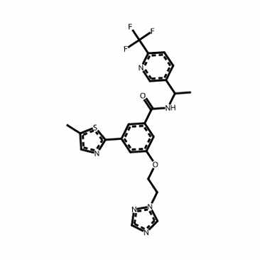 Cc1cnc(-c2cc(OCCn3cncn3)cc(C(=O)NC(C)c3ccc(C(F)(F)F)nc3)c2)s1